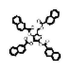 O=C(OC[C@H]1SC(OC(=O)c2ccc3ccccc3c2)[C@@H](OC(=O)c2ccc3ccccc3c2)[C@H]1OC(=O)c1ccc2ccccc2c1)c1ccc2ccccc2c1